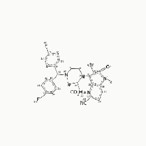 Cn1c(=O)c(Br)c(N2CCN(C(c3ccc(F)cc3)c3ccc(F)cc3)CC2C(=O)O)c2nc(C#N)ccc21